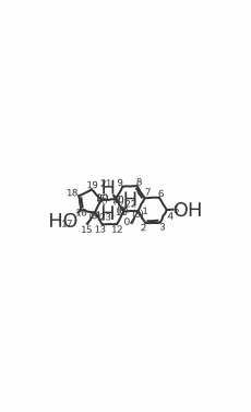 C[C@]12C=CC(O)CC1=CC[C@@H]1[C@H]2CC[C@]2(C)C(O)=CC[C@@H]12